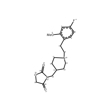 COc1cc(F)ccc1CCN1CCC(CN2C(=O)COC2=O)CC1